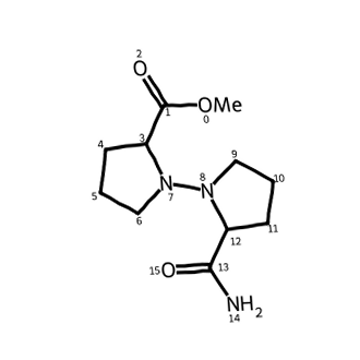 COC(=O)C1CCCN1N1CCCC1C(N)=O